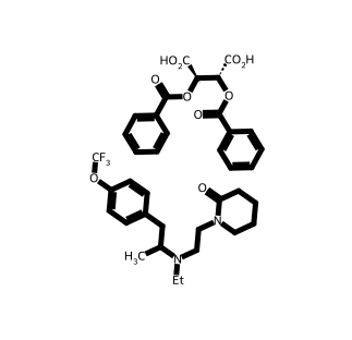 CCN(CCN1CCCCC1=O)C(C)Cc1ccc(OC(F)(F)F)cc1.O=C(O[C@@H](C(=O)O)[C@@H](OC(=O)c1ccccc1)C(=O)O)c1ccccc1